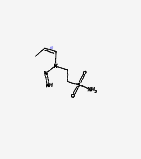 C/C=C\N(CCS(N)(=O)=O)N=N